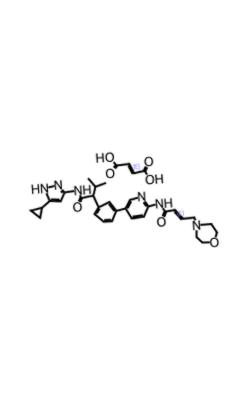 CC(C)C(C(=O)Nc1cc(C2CC2)[nH]n1)c1cccc(-c2ccc(NC(=O)/C=C/CN3CCOCC3)nc2)c1.O=C(O)/C=C/C(=O)O